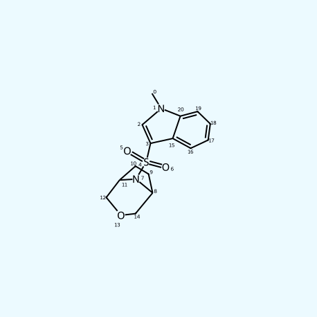 Cn1cc(S(=O)(=O)N2C3CCC2COC3)c2ccccc21